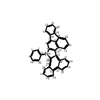 c1ccc(-n2c3cc4c5c(cccc5c3c3c5ccccc5c5ccccc5c32)-c2ccccc2-4)cc1